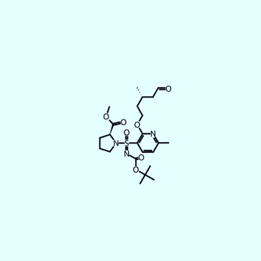 COC(=O)[C@@H]1CCCN1S(=O)(=NC(=O)OC(C)(C)C)c1ccc(C)nc1OCC[C@H](C)CC=O